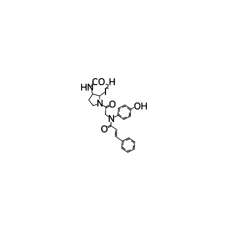 O=C(O)NC1CCN(C(=O)CN(C(=O)C=Cc2ccccc2)c2ccc(O)cc2)C1I